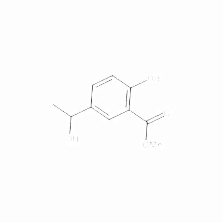 COC(=O)c1cc(C(C)O)ccc1O